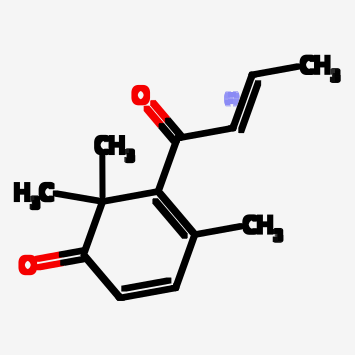 C/C=C/C(=O)C1=C(C)C=CC(=O)C1(C)C